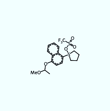 COC(C)Oc1ccc(S2(OS(=O)(=O)C(F)(F)F)CCCC2)c2ccccc12